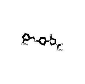 CNC(=O)[C@H]1CC(=O)N(c2ccc(OCc3cccc(OC)c3)cc2)C1